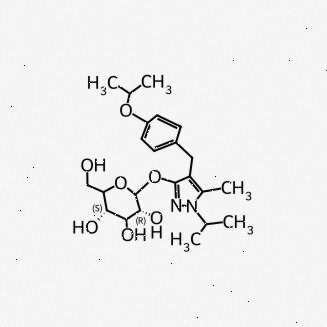 Cc1c(Cc2ccc(OC(C)C)cc2)c(OC2OC(CO)[C@@H](O)C(O)[C@H]2O)nn1C(C)C